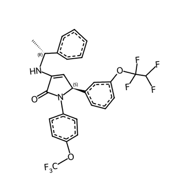 C[C@@H](NC1=C[C@@H](c2cccc(OC(F)(F)C(F)F)c2)N(c2ccc(OC(F)(F)F)cc2)C1=O)c1ccccc1